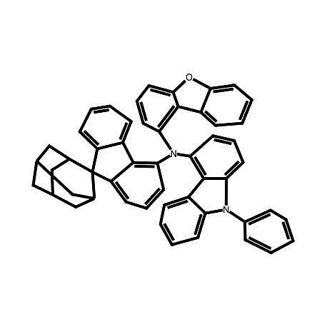 c1ccc(-n2c3ccccc3c3c(N(c4cccc5c4-c4ccccc4C54C5CC6CC(C5)CC4C6)c4cccc5oc6ccccc6c45)cccc32)cc1